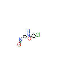 O=C(Nc1ccc(CN2CC3(COC3)C2)cc1)c1ccc(Cl)cc1